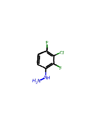 NNc1ccc(F)c(Cl)c1F